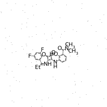 CC[C@@H](Nc1c(Nc2cccc(C(=O)N(C)C)c2O)c(=O)c1=O)c1cc(F)cc(F)c1